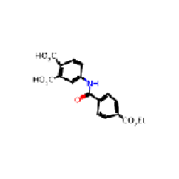 CCOC(=O)c1ccc(C(=O)Nc2ccc(C(=O)O)c(C(=O)O)c2)cc1